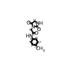 Cc1ccc(NC(=O)CN2C(=O)CNC2=O)cc1